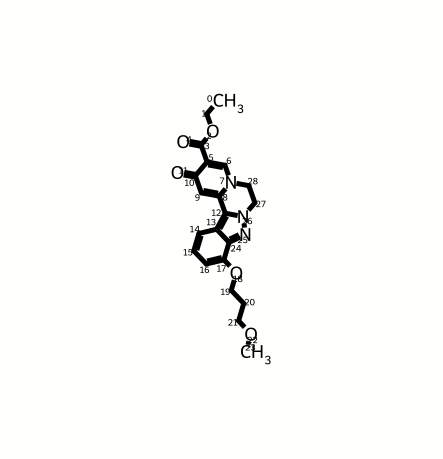 CCOC(=O)c1cn2c(cc1=O)-c1c3cccc(OCCCOC)c3nn1CC2